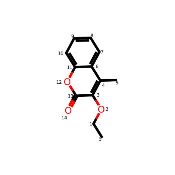 CCOc1c(C)c2ccccc2oc1=O